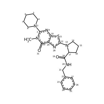 Cn1c(N2CCCCC2)nc2sc(N3CCCC3C(=O)NCc3ccccc3)nc2c1=O